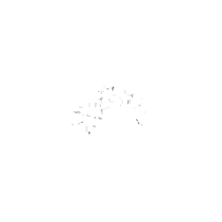 N#CCC(C1CCCC1)n1cc(-c2ncnc3[nH]c(OC4OC(C(=O)O)C(O)C(O)C4O)cc23)cn1